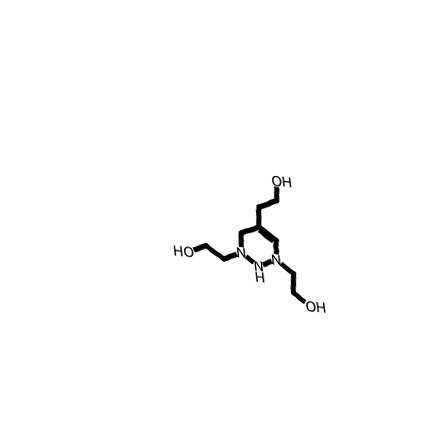 OCCC1=CN(CCO)NN(CCO)C1